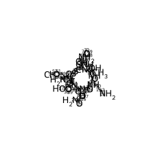 C[C@@H](O)[C@@H]1NC(=O)[C@H](CCCCCN)NC(=O)[C@@H](Cc2ccc(C(N)=O)cc2)NC(=O)[C@H](Cc2ccc(O)cc2)NC(=O)[C@H](NC(=O)[C@@H](N)Cc2ccc(Cl)cc2)CSSC[C@@H](C(=O)NC(Cc2ccccc2)C(N)=O)NC1=O